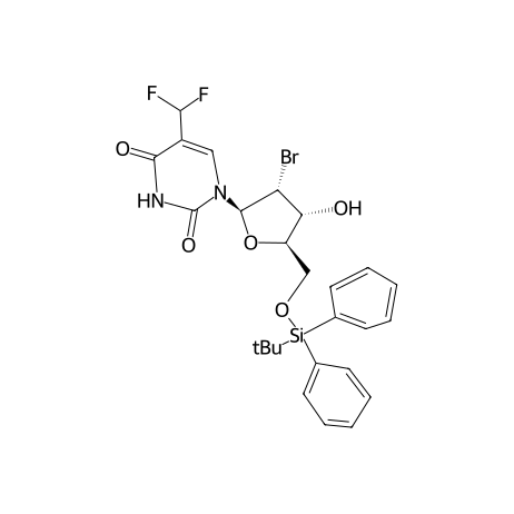 CC(C)(C)[Si](OC[C@H]1O[C@@H](n2cc(C(F)F)c(=O)[nH]c2=O)[C@H](Br)[C@@H]1O)(c1ccccc1)c1ccccc1